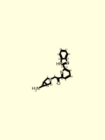 NC1C2CN(CC(=O)c3cccc(-c4nc5ccccc5[nH]4)n3)CC12